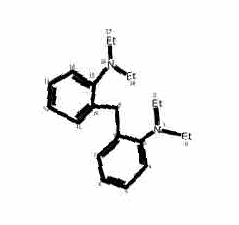 CCN(CC)c1ccccc1[CH]c1ccccc1N(CC)CC